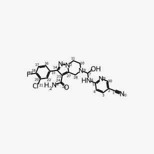 N#Cc1ccc(NC(O)N2CCn3nc(-c4ccc(F)c(Cl)c4)c(C(N)=O)c3C2)nc1